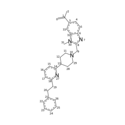 C=C(C)c1ccc2nc(CN3CCC(c4cccc(CCc5ccccc5)n4)CC3)n(C)c2c1